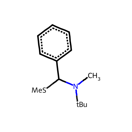 CSC(c1ccccc1)N(C)C(C)(C)C